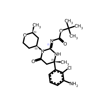 C[C@H]1C[C@@H](N2C(=O)C[C@@](C)(c3cccc(N)c3Cl)N/C2=N\C(=O)OC(C)(C)C)CCO1